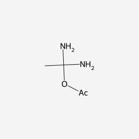 CC(=O)OC(C)(N)N